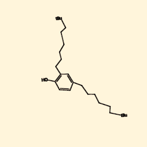 CC(C)(C)CCCCCCc1ccc(O)c(CCCCCCC(C)(C)C)c1